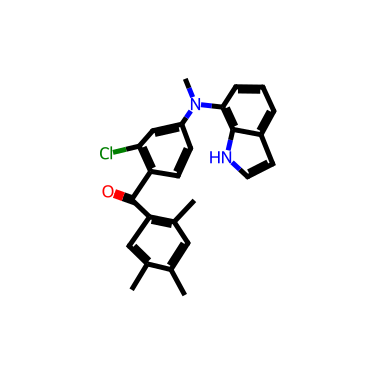 Cc1cc(C)c(C(=O)c2ccc(N(C)c3cccc4cc[nH]c34)cc2Cl)cc1C